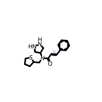 O=C(/C=C/c1ccccc1)N(CC1CCCS1)C1CNNC1